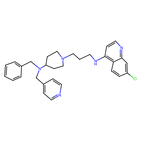 Clc1ccc2c(NCCCN3CCC(N(Cc4ccccc4)Cc4ccncc4)CC3)ccnc2c1